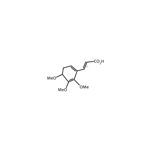 COC1=C(OC)C(OC)CC=C1/C=C/C(=O)O